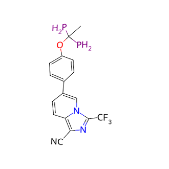 CC(P)(P)Oc1ccc(-c2ccc3c(C#N)nc(C(F)(F)F)n3c2)cc1